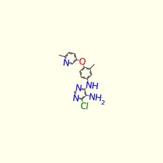 Cc1ccc(Oc2ccc(Nc3ncnc(Cl)c3N)cc2C)cn1